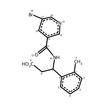 Cc1ccccc1C(CC(=O)O)NC(=O)c1cncc(Br)c1